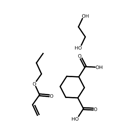 C=CC(=O)OCCC.O=C(O)C1CCCC(C(=O)O)C1.OCCO